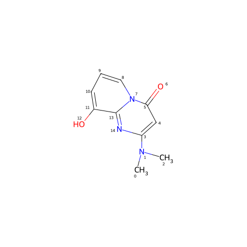 CN(C)c1cc(=O)n2cccc(O)c2n1